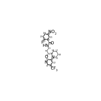 O=C(NCCCOc1ncc(C(F)(F)F)cc1N1CCCCC1)c1cc([N+](=O)[O-])ccc1F